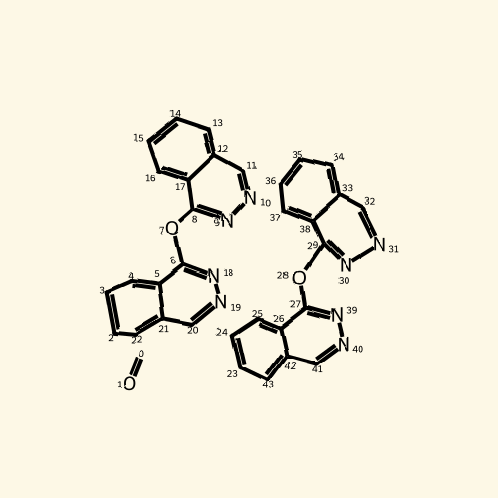 C=O.c1ccc2c(Oc3nncc4ccccc34)nncc2c1.c1ccc2c(Oc3nncc4ccccc34)nncc2c1